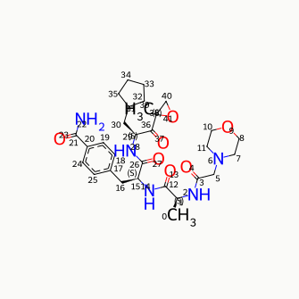 C[C@H](NC(=O)CN1CCOCC1)C(=O)N[C@@H](Cc1ccc(C(N)=O)cc1)C(=O)N[C@@H](CC1CCCC1)C(=O)[C@]1(C)CO1